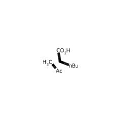 CC(C)=O.CCCCCC(=O)O